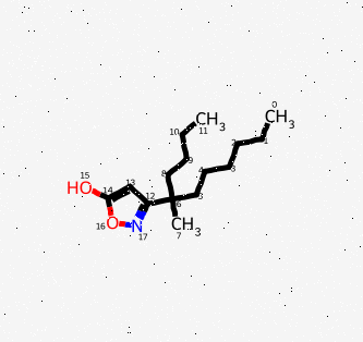 CCCCCCC(C)(CCCC)c1cc(O)on1